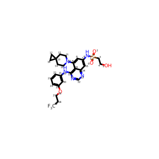 O=S(=O)(CCO)Nc1cc(N2CCC3(CC2)CC3)c2c(Nc3cccc(OCCC(F)(F)F)c3)ncnc2c1